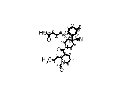 CCCC1C(C(=O)N2CCC(C#N)(c3cc(F)ccc3OCCCC(=O)O)CC2)CCCN1C=O